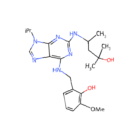 COc1cccc(CNc2nc(NC(C)CC(C)(C)O)nc3c2ncn3C(C)C)c1O